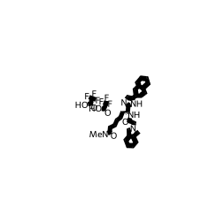 CNC(=O)CCCCC[C@H](NC(=O)CN1Cc2ccccc2C1)c1ncc(-c2ccc3ccccc3c2)[nH]1.O=C(O)C(F)(F)F.O=C(O)C(F)(F)F